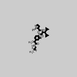 CC(C(=O)NCC(C)(F)F)c1ccc(NC(=O)C(NC(=O)c2ccnn2C(C)C)C(C2CC2)C2CC2)c(F)c1